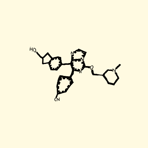 CN1CCC[C@@H](COc2nc(-c3ccc(C#N)cc3)c(-c3ccc4c(c3)CC(O)C4)c3nccn23)C1